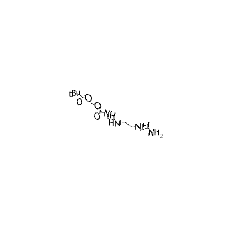 CC(C)(C)C(=O)OCOC(=O)NCCNCCNCCN